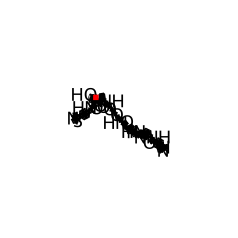 Cc1ncsc1-c1ccc(CNC(=O)[C@@H]2C[C@@H](O)CN2C(=O)C(NC(=O)COCCOCCNC(=O)CC2CCN(Cc3nc4cc(NC(=O)c5ccc6c(cnn6C)c5)ccc4[nH]3)C2)C(C)(C)C)cc1